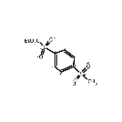 CCOC(=O)S(=O)(=O)c1ccc(S(C)(=O)=O)cc1